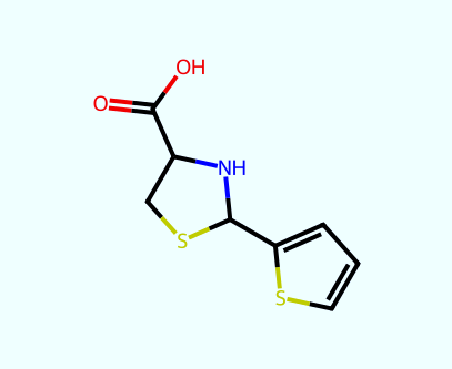 O=C(O)C1CSC(c2cccs2)N1